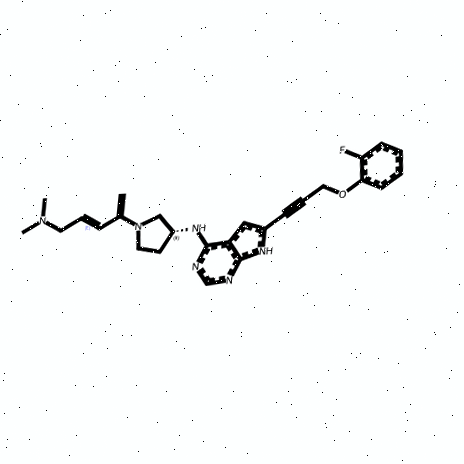 C=C(/C=C/CN(C)C)N1CC[C@@H](Nc2ncnc3[nH]c(C#CCOc4ccccc4F)cc23)C1